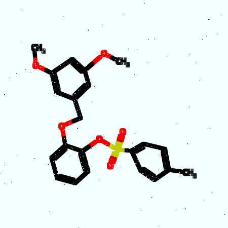 COc1cc(COc2ccccc2OS(=O)(=O)c2ccc(C)cc2)cc(OC)c1